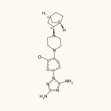 Nc1nc(N)n(-c2ccc(N3CCN([C@H]4C[C@H]5CC[C@H]4C5)CC3)c(Cl)c2)n1